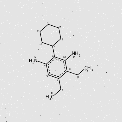 CCc1cc(N)c(C2CCCCC2)c(N)c1CC